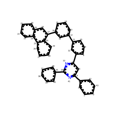 c1ccc(-c2cc(-c3cccc(-c4cccc(-c5cc6ccccc6c6ccccc56)c4)c3)nc(-c3ccccc3)n2)cc1